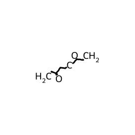 C=CC(=O)CCCCC(=O)C=C